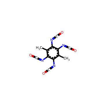 Cc1c(N=C=O)c(N=C=O)c(C)c(N=C=O)c1N=C=O